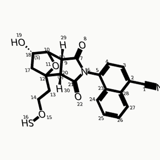 N#Cc1ccc(N2C(=O)[C@H]3C4OC(CCOS)(C[C@@H]4O)[C@H]3C2=O)c2ccccc12